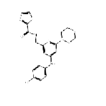 O=C(NCc1cc(Nc2ccc(Cl)cc2)nc(N2CCOCC2)n1)c1nccs1